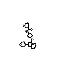 O=C(NC1CCC(Oc2cc(N3CCOCC3)cc3nccnc23)CC1)c1cccnc1